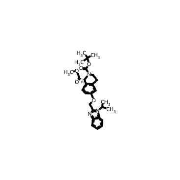 COC(=O)[C@H]1c2ccc(OCc3nc4ccccc4n3C(C)C)cc2CCN1C(=O)OC(C)(C)C